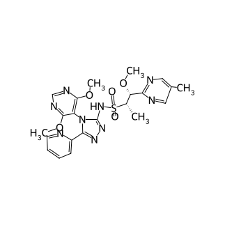 COc1ncnc(OC)c1-n1c(NS(=O)(=O)[C@@H](C)[C@H](OC)c2ncc(C)cn2)nnc1-c1ccccn1